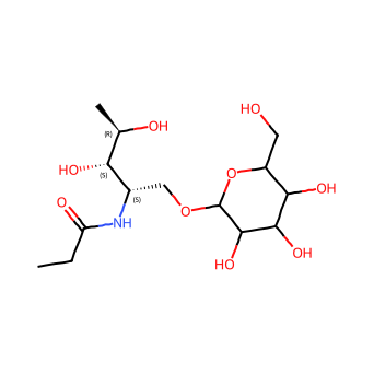 CCC(=O)N[C@@H](COC1OC(CO)C(O)C(O)C1O)[C@H](O)[C@@H](C)O